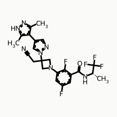 Cc1n[nH]c(C)c1-c1cnn(C2(CC#N)CN(c3cc(F)cc(C(=O)N[C@@H](C)C(F)(F)F)c3F)C2)c1